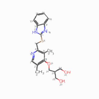 Cc1cnc(CSc2nc3ccccc3[nH]2)c(C)c1OCC(CO)CO